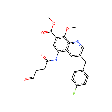 COC(=O)c1cc(NC(=O)CCC=O)c2cc(Cc3ccc(F)cc3)cnc2c1OC